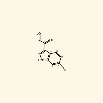 O=CC(=O)c1c[nH]c2cc(I)ccc12